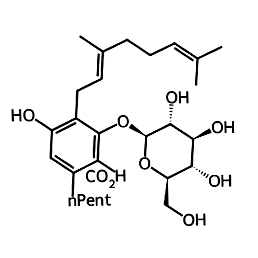 CCCCCc1cc(O)c(C/C=C(\C)CCC=C(C)C)c(O[C@@H]2O[C@H](CO)[C@@H](O)[C@H](O)[C@H]2O)c1C(=O)O